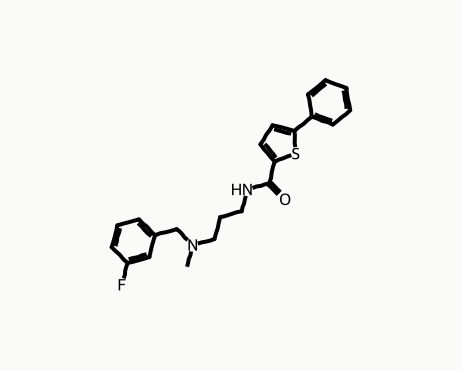 CN(CCCNC(=O)c1ccc(-c2ccccc2)s1)Cc1cccc(F)c1